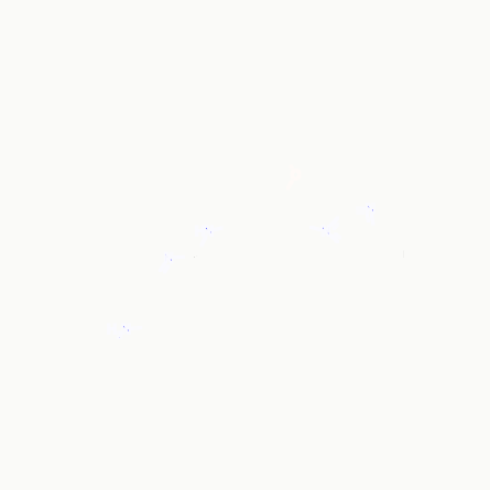 C=C(/N=C(\C=C/N)C1(c2ccccc2)CCCCC1)Nc1ccc(-n2cnc(C)c2)c(OC)c1